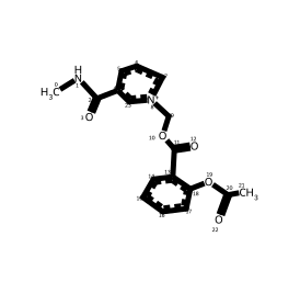 CNC(=O)c1ccc[n+](COC(=O)c2ccccc2OC(C)=O)c1